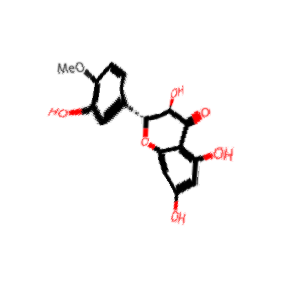 COc1ccc([C@H]2Oc3cc(O)cc(O)c3C(=O)[C@@H]2O)cc1O